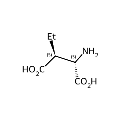 CC[C@H](C(=O)O)[C@H](N)C(=O)O